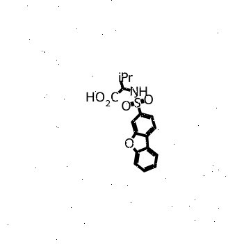 CC(C)C(NS(=O)(=O)c1ccc2c(c1)oc1ccccc12)C(=O)O